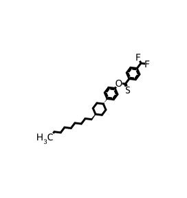 CCCCCCCCC[C@H]1CC[C@H](c2ccc(OC(=S)c3ccc(C(F)F)cc3)cc2)CC1